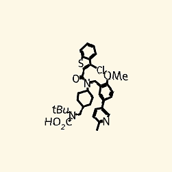 COc1ccc(-c2ccc(C)nc2)cc1CN(C(=O)c1sc2ccccc2c1Cl)C1CCC(CN(C(=O)O)C(C)(C)C)CC1